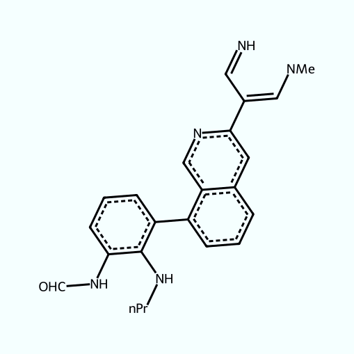 CCCNc1c(NC=O)cccc1-c1cccc2cc(/C(C=N)=C/NC)ncc12